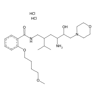 COCCCCOc1ccccc1C(=O)NCC(CC(N)C(O)CN1CCOCC1)C(C)C.Cl.Cl